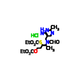 CCOC(=O)OCCC(SC(=O)OCC)=C(C)N(C=O)Cc1cnc(C)nc1N.Cl